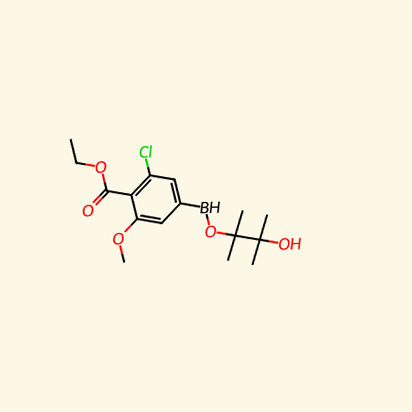 CCOC(=O)c1c(Cl)cc(BOC(C)(C)C(C)(C)O)cc1OC